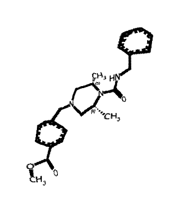 COC(=O)c1ccc(CN2C[C@@H](C)N(C(=O)NCc3ccccc3)[C@@H](C)C2)cc1